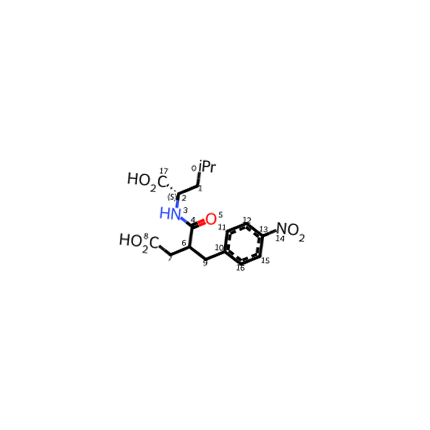 CC(C)C[C@H](NC(=O)C(CC(=O)O)Cc1ccc([N+](=O)[O-])cc1)C(=O)O